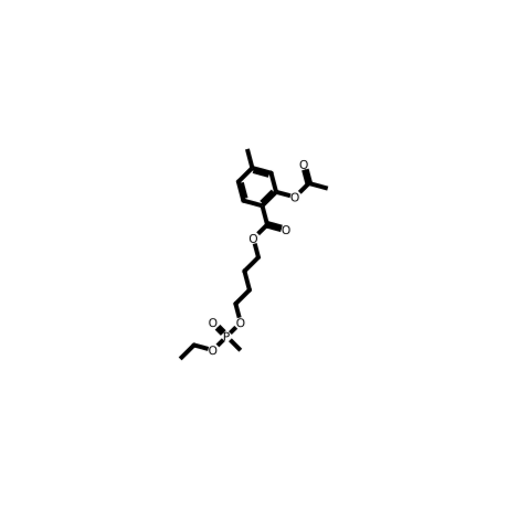 CCOP(C)(=O)OCCCCOC(=O)c1ccc(C)cc1OC(C)=O